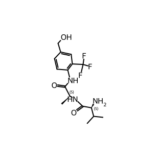 CC(C)[C@H](N)C(=O)N[C@@H](C)C(=O)Nc1ccc(CO)cc1C(F)(F)F